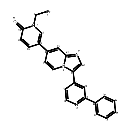 CC(C)Cn1cc(-c2ccn3c(-c4ccnc(-c5ccccc5)c4)cnc3c2)ccc1=O